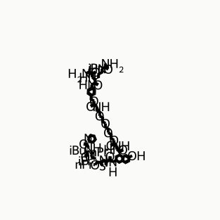 CCCO[C@H](C[C@H](C(C)C)N(CCC)C(=O)[C@@H](NC(=O)[C@H]1CCCCN1C)[C@@H](C)CC)c1nc(C(=O)NC2Cc3ccc(O)cc3[C@H](C(=O)NNC(=O)OCCOCCOCCOCCNC(=O)OCc3ccc(NC(=O)[C@H](CCCNC(N)=O)NC(=O)[C@@H](N)C(C)C)cc3)C2)cs1